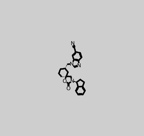 N#Cc1ccc2ncn(C[C@H]3CCC[C@]4(C3)CN([C@H]3CCc5ccccc53)C(=O)O4)c2c1